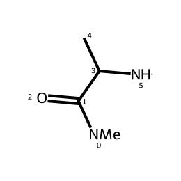 CNC(=O)C(C)[NH]